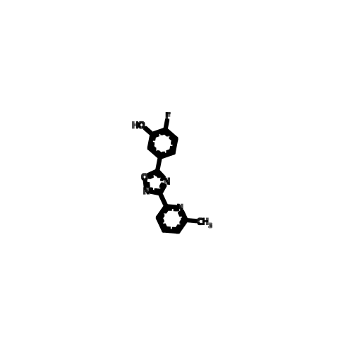 Cc1cccc(-c2noc(-c3ccc(F)c(O)c3)n2)n1